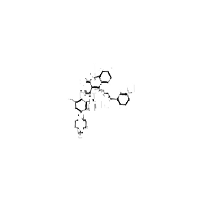 CC(=O)N1CCN(c2cc(C)c3nc(-c4c(NC[C@@H](O)c5cccc(Cl)c5)c5ccccc5[nH]c4=O)[nH]c3c2)CC1